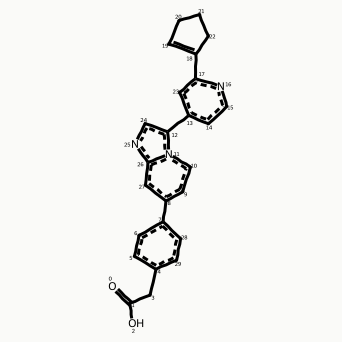 O=C(O)Cc1ccc(-c2ccn3c(-c4ccnc(C5=CCCC5)c4)cnc3c2)cc1